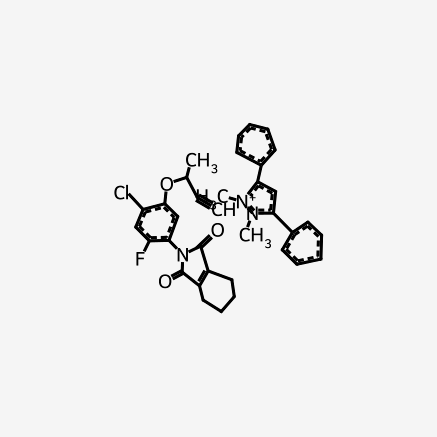 C#CC(C)Oc1cc(N2C(=O)C3=C(CCCC3)C2=O)c(F)cc1Cl.Cn1c(-c2ccccc2)cc(-c2ccccc2)[n+]1C